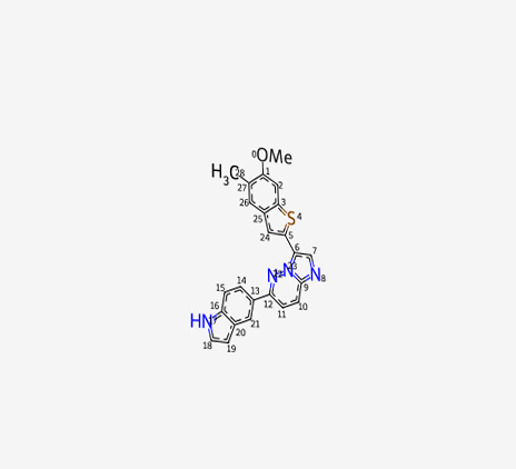 COc1cc2sc(-c3cnc4ccc(-c5ccc6[nH]ccc6c5)nn34)cc2cc1C